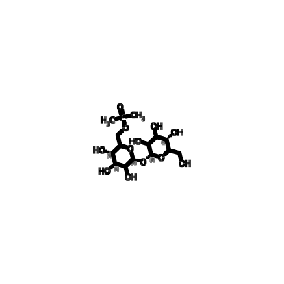 CP(C)(=O)OCC1O[C@H](O[C@H]2OC(CO)[C@@H](O)C(O)C2O)C(O)[C@@H](O)[C@@H]1O